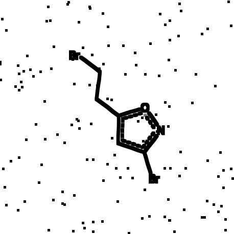 BrCCc1cc(Br)no1